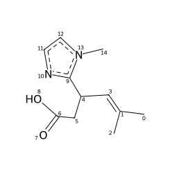 CC(C)=CC(CC(=O)O)c1nccn1C